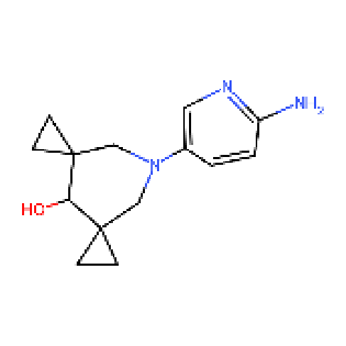 Nc1ccc(N2CC3(CC3)C(O)C3(CC3)C2)cn1